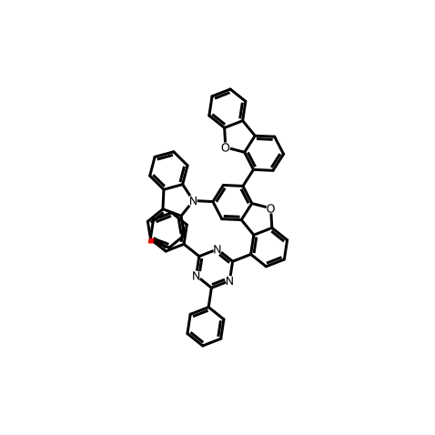 c1ccc(-c2nc(-c3ccccc3)nc(-c3cccc4oc5c(-c6cccc7c6oc6ccccc67)cc(-n6c7ccccc7c7ccccc76)cc5c34)n2)cc1